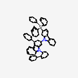 c1ccc(-c2ccccc2-n2c3ccccc3c3c(-c4ccccc4)cc(-n4c5ccccc5c5ccc([Si](c6ccccc6)(c6ccccc6)c6ccccc6)cc54)cc32)cc1